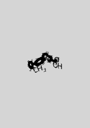 Cc1ccccc1-c1ccc2c(ccc3cc(C(=O)O)cn32)c1